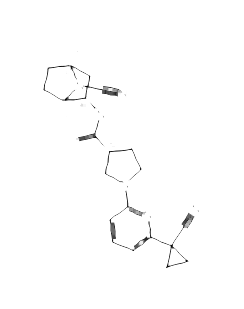 N#CN1[C@H]2CC[C@@H]1[C@H](NC(=O)[C@H]1CCN(c3cccc(C4(C#N)CC4)n3)C1)C2